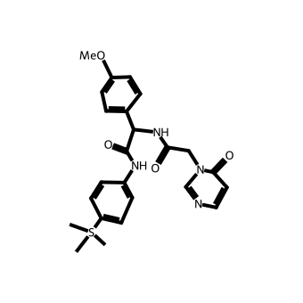 COc1ccc(C(NC(=O)Cn2cnccc2=O)C(=O)Nc2ccc(S(C)(C)C)cc2)cc1